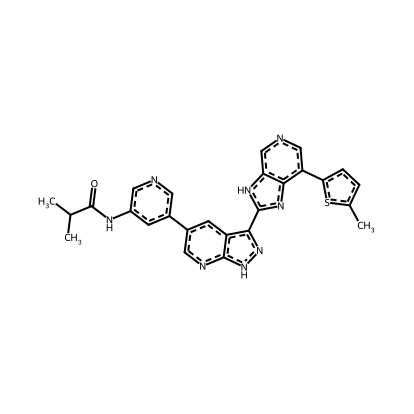 Cc1ccc(-c2cncc3[nH]c(-c4n[nH]c5ncc(-c6cncc(NC(=O)C(C)C)c6)cc45)nc23)s1